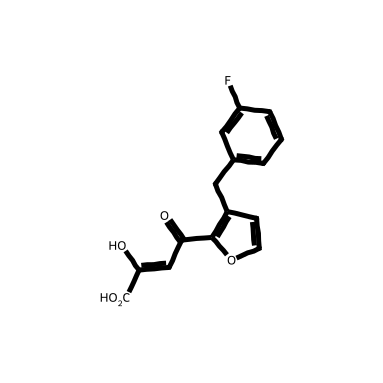 O=C(O)C(O)=CC(=O)c1occc1Cc1cccc(F)c1